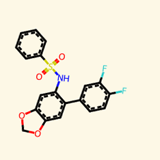 O=S(=O)(Nc1cc2c(cc1-c1ccc(F)c(F)c1)OCO2)c1ccccc1